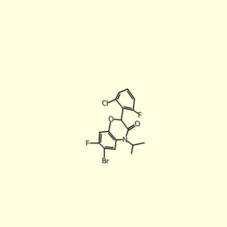 CC(C)N1C(=O)C(c2c(F)cccc2Cl)Oc2cc(F)c(Br)cc21